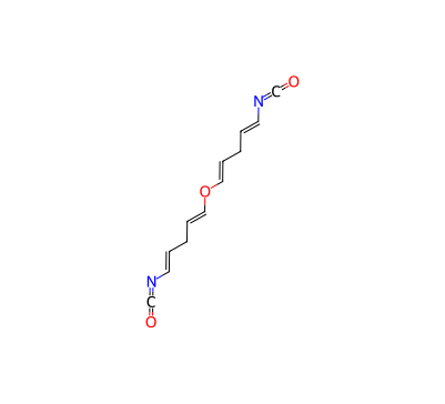 O=C=NC=CCC=COC=CCC=CN=C=O